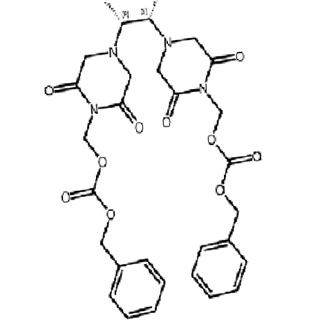 C[C@H]([C@H](C)N1CC(=O)N(COC(=O)OCc2ccccc2)C(=O)C1)N1CC(=O)N(COC(=O)OCc2ccccc2)C(=O)C1